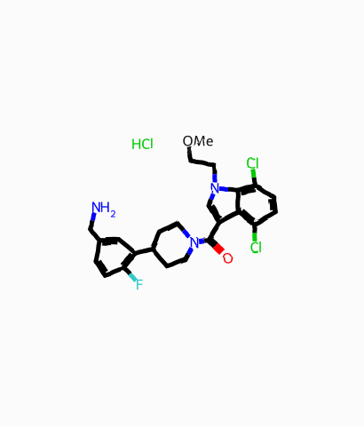 COCCn1cc(C(=O)N2CCC(c3cc(CN)ccc3F)CC2)c2c(Cl)ccc(Cl)c21.Cl